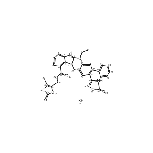 CCOc1nc2cccc(C(=O)OCc3oc(=O)oc3C)c2n1Cc1ccc(-c2ccccc2)c(-c2noc(=O)[nH]2)c1.[KH]